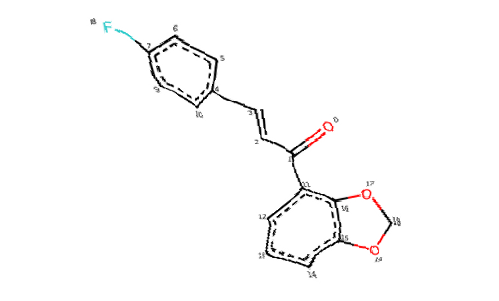 O=C(C=Cc1ccc(F)cc1)c1cccc2c1OCO2